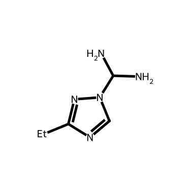 CCc1ncn(C(N)N)n1